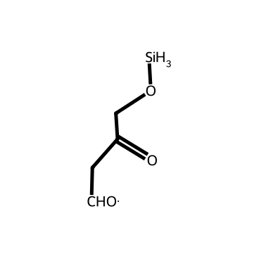 O=[C]CC(=O)CO[SiH3]